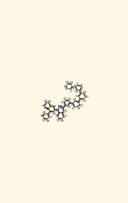 c1ccc(-c2cccc(-c3cccc(-c4cccc(-c5cccc(-c6cc7ccccc7c(-c7cc(-c8ccccc8)c8ccccc8c7)n6)c5)c4)c3)c2)cc1